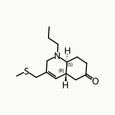 CCCN1CC(CSC)=C[C@H]2CC(=O)CC[C@@H]21